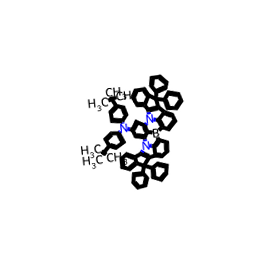 CC(C)(C)c1ccc(N(c2ccc(C(C)(C)C)cc2)c2cc3c4c(c2)-n2c5c(c6cccc(c62)B4c2cccc4c6c(n-3c24)-c2ccccc2C6(c2ccccc2)c2ccccc2)C(c2ccccc2)(c2ccccc2)c2ccccc2-5)cc1